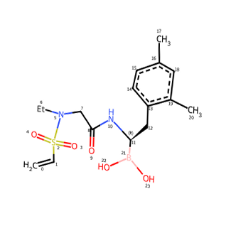 C=CS(=O)(=O)N(CC)CC(=O)N[C@@H](Cc1ccc(C)cc1C)B(O)O